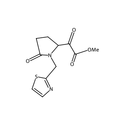 COC(=O)C(=O)C1CCC(=O)N1Cc1nccs1